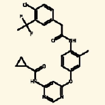 Cc1cc(Oc2cc(NC(=O)C3CC3)ncn2)ccc1NC(=O)Cc1ccc(Cl)c(C(C)(F)F)c1